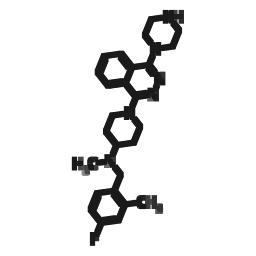 Cc1cc(F)ccc1CN(C)C1CCN(c2nnc(N3CCNCC3)c3ccccc23)CC1